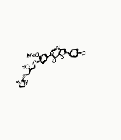 COc1cc(-n2cnc3cc(-c4ccc(Cl)cc4)sc3c2=O)ccc1OCC(O)CSc1nccn1C